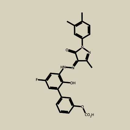 CC1=NN(c2ccc(C)c(C)c2)C(=O)C1=NNc1cc(F)cc(-c2cccc(OC(=O)O)c2)c1O